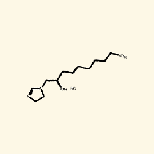 CCCCCCCCCCCCCCCCCC(O)CN1C=NCC1.Cl